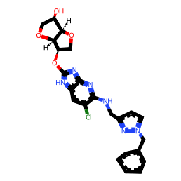 O[C@@H]1CO[C@H]2[C@@H]1OC[C@H]2Oc1nc2nc(NCc3ccn(Cc4ccccc4)n3)c(Cl)cc2[nH]1